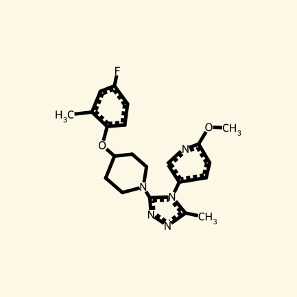 COc1ccc(-n2c(C)nnc2N2CCC(Oc3ccc(F)cc3C)CC2)cn1